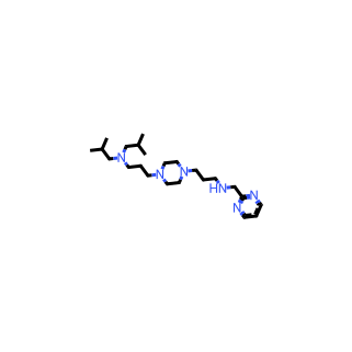 CC(C)CN(CCCN1CCN(CCCNCc2ncccn2)CC1)CC(C)C